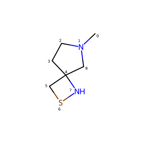 CN1CCC2(CSN2)C1